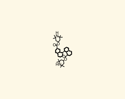 CC1(C)CC(OC(=O)c2ccc3cccc(-c4cccc5cccc(C(=O)OC6CC(C)(C)NC(C)(C)C6)c45)c3c2)CC(C)(C)N1